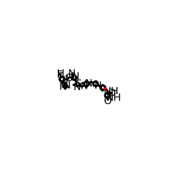 Cc1nc(CN2CCN(CC3CCN(c4ccc(NC5CCC(=O)NC5=O)cc4)CC3)CC2)sc1-c1cnc(N)c(O[C@H](C)c2cc(F)ccc2-n2nccn2)c1